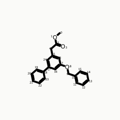 COC(=O)Cc1cc(OCc2ccccc2)cc(-c2ccccc2)c1